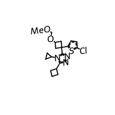 COCOC1CC(c2ccc(Cl)s2)(c2nnc(C3CCC3)n2C2CC2)C1